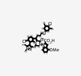 COc1cccc2c1cc(C(=O)O)n2N1CC(C)n2c(c(CCCOc3cc(C)c(Cl)c(C)c3)c3ccc(Cl)c(-c4c(C)nn(C)c4C)c32)C1=O